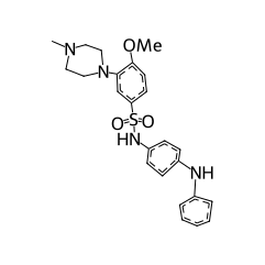 COc1ccc(S(=O)(=O)Nc2ccc(Nc3ccccc3)cc2)cc1N1CCN(C)CC1